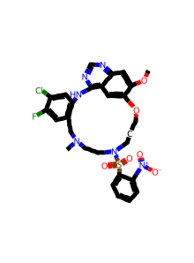 COc1cc2ncnc3c2cc1OCCCN(S(=O)(=O)c1ccccc1[N+](=O)[O-])CCN(C)Cc1cc(F)c(Cl)cc1N3